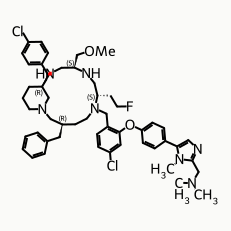 COC[C@@H]1CN[C@@]2(Cc3ccc(Cl)cc3)CCCN(C[C@H](Cc3ccccc3)CCN(Cc3ccc(Cl)cc3Oc3ccc(-c4cnc(CN(C)C)n4C)cc3)[C@@H](CCF)CN1)C2